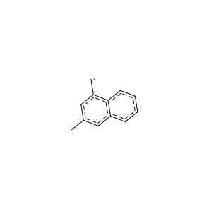 [CH2]c1cc(C)cc2ccccc12